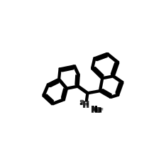 [2H]C(c1cccc2ccccc12)c1cccc2ccccc12.[Na]